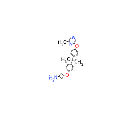 Cc1cncc(Oc2ccc(C(C)(C)c3ccc(OC4CC(N)C4)cc3)cc2)n1